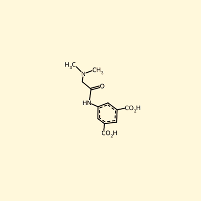 CN(C)CC(=O)Nc1cc(C(=O)O)cc(C(=O)O)c1